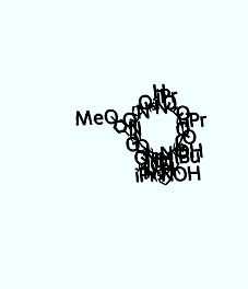 CCC(C)C1NC(=O)C(NC(=O)[C@@H](CC(C)C)N(C)C(=O)[C@@H]2CCCN2C(=O)C(C)O)[C@@H](C)OC(=O)[C@H](Cc2ccc(OC)cc2)N(C)C(=O)C2CCCN2C(=O)[C@H](CC(C)C)NC(=O)C(C)C(=O)[C@H](C(C)C)OC(=O)C[C@@H]1O